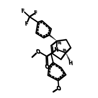 COC(=O)C1=C[C@@]2(c3ccc(C(F)(F)F)cc3)CC[C@@H](C1)N2Cc1ccc(OC)cc1